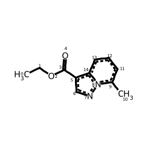 CCOC(=O)c1cnn2c(C)cccc12